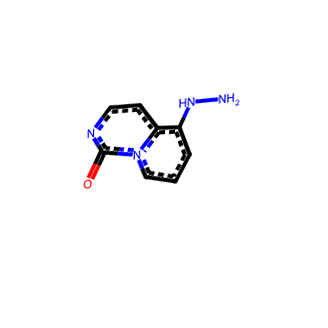 NNc1cccn2c(=O)nccc12